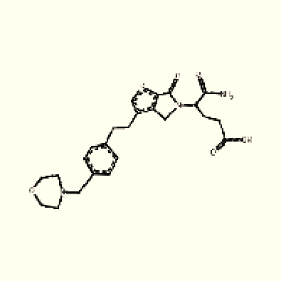 NC(=O)C(CCC(=O)O)N1Cc2c(CCc3ccc(CN4CCOCC4)cc3)csc2C1=O